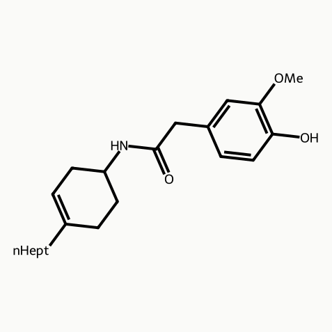 CCCCCCCC1=CCC(NC(=O)Cc2ccc(O)c(OC)c2)CC1